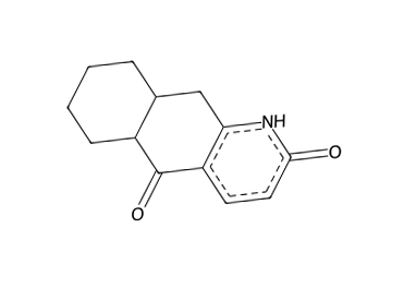 O=C1c2ccc(=O)[nH]c2CC2CCCCC12